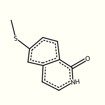 CSc1ccc2c(=O)[nH]ccc2c1